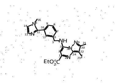 CCOC(=O)c1cc(NCc2cccc(-c3nccn3C)c2)n2nc(C)c(I)c2n1